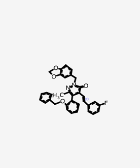 Cc1nn(Cc2ccc3c(c2)OCO3)c(=O)c(/C=C/c2cccc(F)c2)c1-c1ccccc1OCc1ccccc1